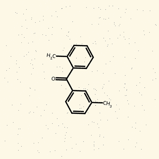 Cc1cccc(C(=O)c2ccccc2C)c1